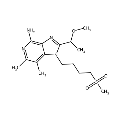 COC(C)c1nc2c(N)nc(C)c(C)c2n1CCCCS(C)(=O)=O